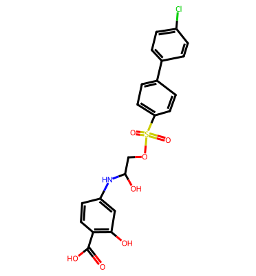 O=C(O)c1ccc(NC(O)COS(=O)(=O)c2ccc(-c3ccc(Cl)cc3)cc2)cc1O